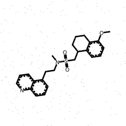 COc1cccc2c1CCCC2CS(=O)(=O)N(C)CCc1cccc2ncccc12